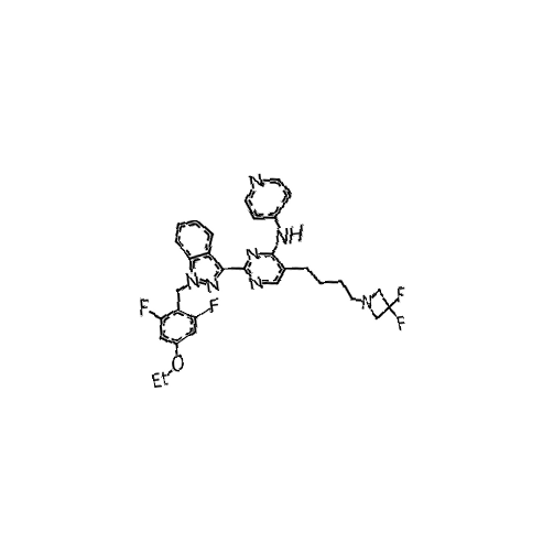 CCOc1cc(F)c(Cn2nc(-c3ncc(CCCCN4CC(F)(F)C4)c(Nc4ccncc4)n3)c3ccccc32)c(F)c1